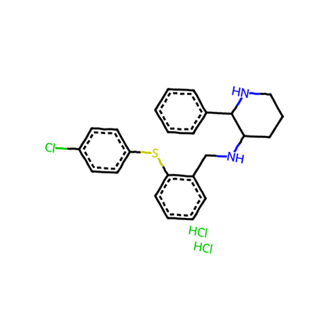 Cl.Cl.Clc1ccc(Sc2ccccc2CNC2CCCNC2c2ccccc2)cc1